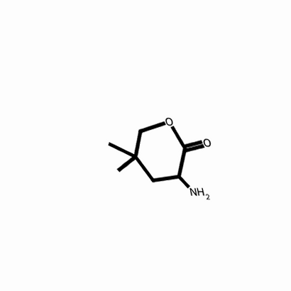 CC1(C)COC(=O)C(N)C1